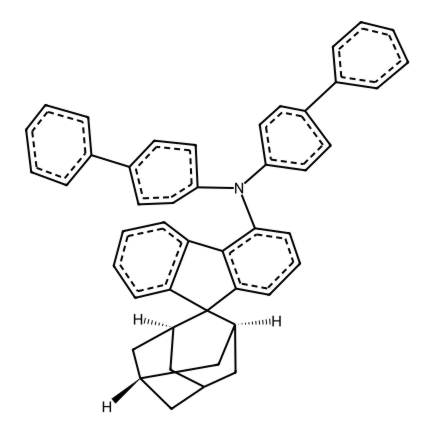 c1ccc(-c2ccc(N(c3ccc(-c4ccccc4)cc3)c3cccc4c3-c3ccccc3C43[C@H]4CC5C[C@H](C4)C[C@@H]3C5)cc2)cc1